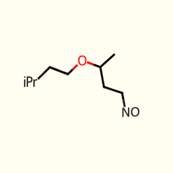 CC(C)CCOC(C)CCN=O